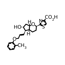 Cc1ccccc1OC/C=C/[C@@H]1[C@H]2CC[C@H](c3nc(C(=O)O)cs3)O[C@H]2C[C@H]1O